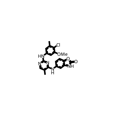 COc1cc(Nc2ncc(C)c(Nc3ccc4oc(=O)[nH]c4c3)n2)cc(C)c1Cl